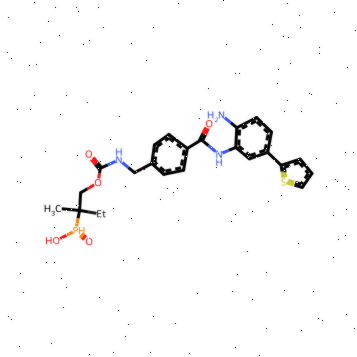 CCC(C)(COC(=O)NCc1ccc(C(=O)Nc2cc(-c3cccs3)ccc2N)cc1)[PH](=O)O